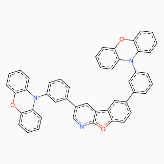 c1cc(-c2ccc3oc4ncc(-c5cccc(N6c7ccccc7Oc7ccccc76)c5)cc4c3c2)cc(N2c3ccccc3Oc3ccccc32)c1